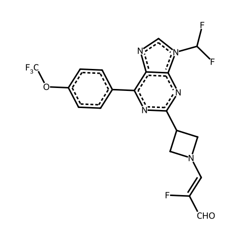 O=CC(F)=CN1CC(c2nc(-c3ccc(OC(F)(F)F)cc3)c3ncn(C(F)F)c3n2)C1